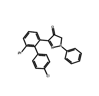 CC(C)c1cccc(C2=NN(c3ccccc3)CC2=O)c1-c1ccc(Cl)cc1